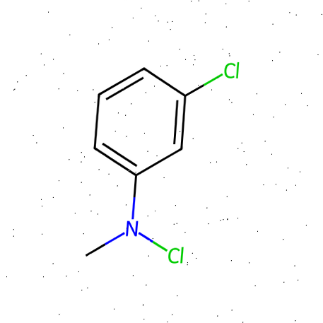 CN(Cl)c1cccc(Cl)c1